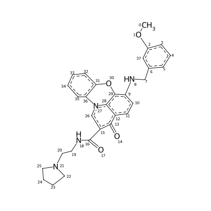 COc1cccc(CNc2ccc3c(=O)c(C(=O)NCCN4CCCC4)cn4c3c2Oc2ccccc2-4)c1